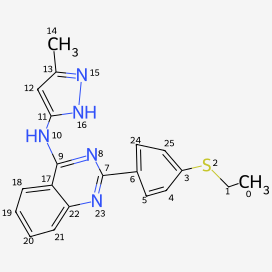 CCSc1ccc(-c2nc(Nc3cc(C)n[nH]3)c3ccccc3n2)cc1